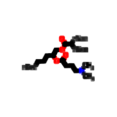 CCCCCCCCCCCCCC(COC(=O)C(CCCCCCCCC)CCCCCCCCC)OC(=O)CCCN(C)C